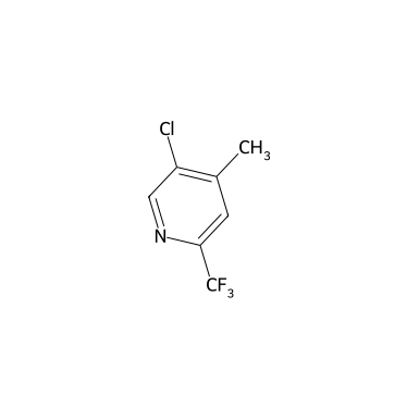 Cc1cc(C(F)(F)F)ncc1Cl